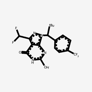 CC(C)(C)C(c1ccc(C(F)(F)F)cc1)n1nc(C(F)F)c2c(=O)[nH]c(O)nc21